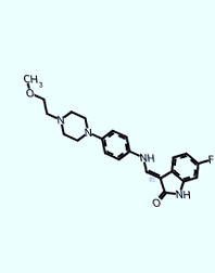 COCCN1CCN(c2ccc(N/C=C3/C(=O)Nc4cc(F)ccc43)cc2)CC1